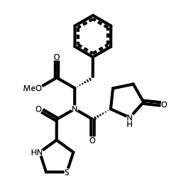 COC(=O)[C@H](Cc1ccccc1)N(C(=O)C1CSCN1)C(=O)[C@@H]1CCC(=O)N1